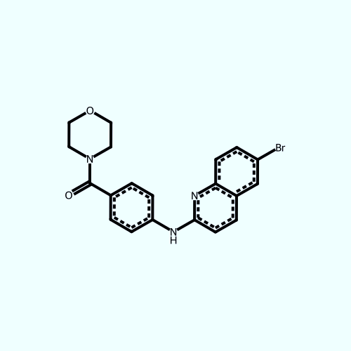 O=C(c1ccc(Nc2ccc3cc(Br)ccc3n2)cc1)N1CCOCC1